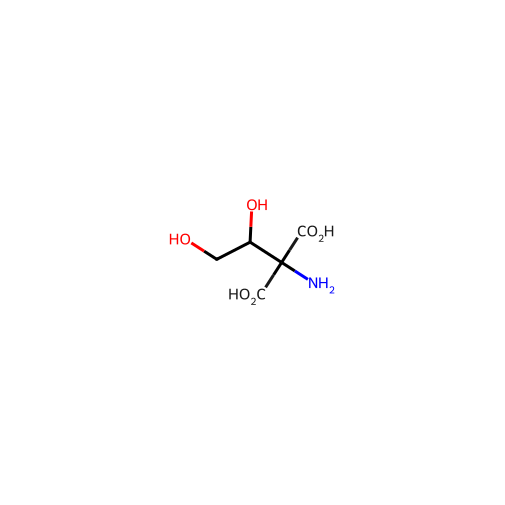 NC(C(=O)O)(C(=O)O)C(O)CO